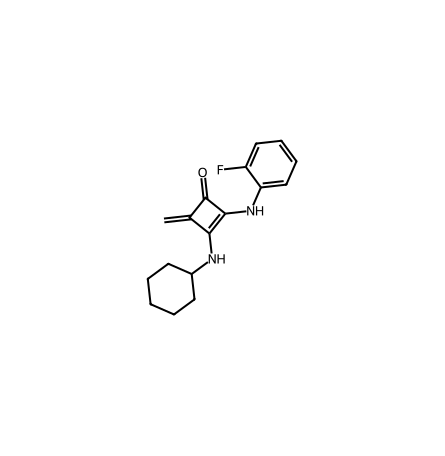 C=C1C(=O)C(Nc2ccccc2F)=C1NC1CCCCC1